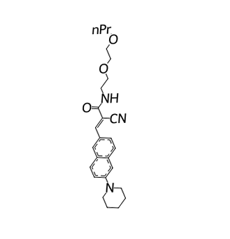 CCCOCCOCCNC(=O)/C(C#N)=C/c1ccc2cc(N3CCCCC3)ccc2c1